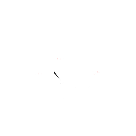 CCOC(=O)[C@@H]1CC1C(C)O